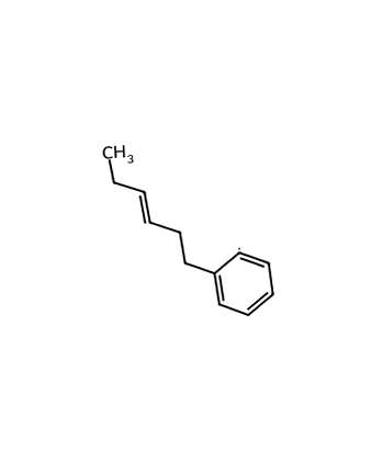 CCC=CCCc1[c]cccc1